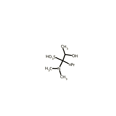 CCCC(C(C)O)(N(C)C)S(=O)(=O)O